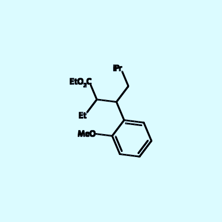 CCOC(=O)C(CC)C(CC(C)C)c1ccccc1OC